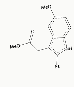 CCc1[nH]c2ccc(OC)cc2c1CC(=O)OC